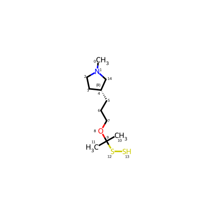 CN1CC[C@@H](CCCOC(C)(C)SS)C1